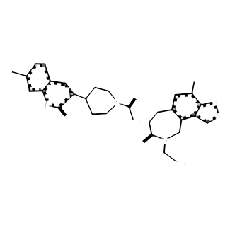 CC(C)(C)CN1Cc2c(cc(Cl)c3[nH]ncc23)C[C@@H](CC(=O)N2CCC(c3cc4ccc(F)cc4[nH]c3=O)CC2)C1=O